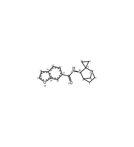 O=C(N[C@@H]1C2CCN(C2)C12CC2)c1ccc2ccoc2c1